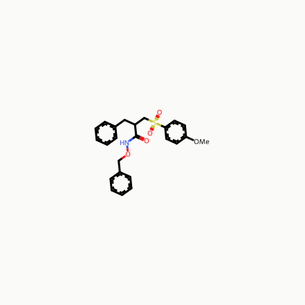 COc1ccc(S(=O)(=O)CC(Cc2ccccc2)C(=O)NOCc2ccccc2)cc1